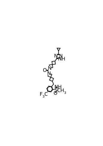 CS(=N)(=O)c1cc(C(F)(F)F)ccc1CC1CC2(C1)CN(C(=O)N1CC3(CC(c4nc(C5CC5)n[nH]4)C3)C1)C2